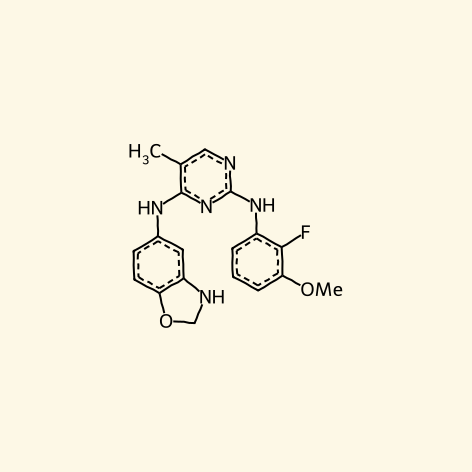 COc1cccc(Nc2ncc(C)c(Nc3ccc4c(c3)NCO4)n2)c1F